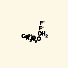 O.O.O.[F-].[F-].[F-].[Ga+3]